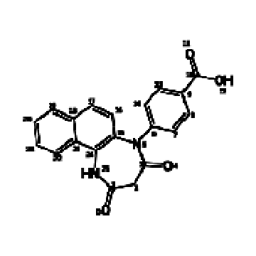 O=C1CC(=O)N(c2ccc(C(=O)O)cc2)c2ccc3ccccc3c2N1